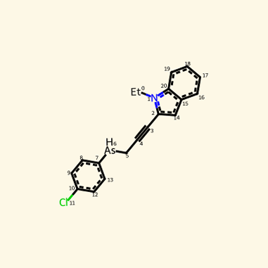 CCn1c(C#CC[AsH]c2ccc(Cl)cc2)cc2ccccc21